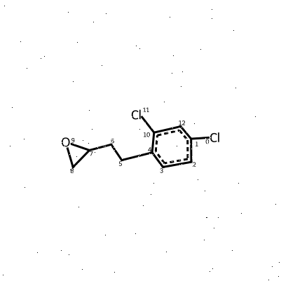 Clc1ccc(CCC2CO2)c(Cl)c1